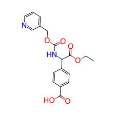 CCOC(=O)C(NC(=O)OCc1cccnc1)c1ccc(C(=O)O)cc1